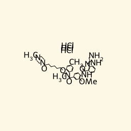 COc1cc(C(=O)N(C)c2ccc(C)cc2OCCCCCC(=O)N2CCN(C)CC2)ccc1NC(=O)c1cccc2[nH]c(CN)nc12.Cl.Cl.Cl